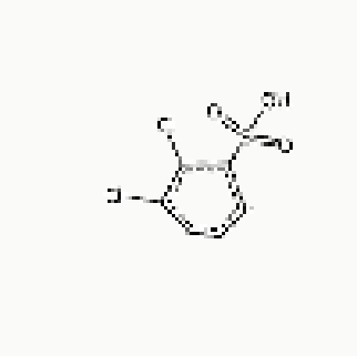 O=S(=O)(O)c1[c]ccc(Cl)c1Cl